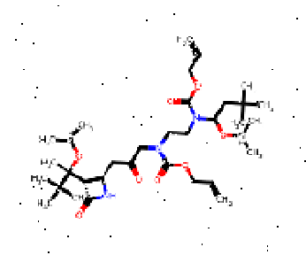 C=CCOC(=O)N(CCN(C(=O)OCC=C)C(CC(C)(C)C)O[SiH](C)C)CC(=O)C[C@H]1NC(=O)[C@@H]1[C@@](C)(O[SiH](C)C)C(C)(C)C